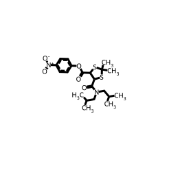 CC(C)CN(CC(C)C)C(=O)C1SC(C)(C)SC1C(=O)Oc1ccc([N+](=O)[O-])cc1